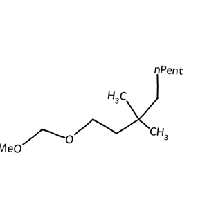 CCCCCCC(C)(C)CCOCOC